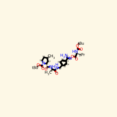 CC(C)[C@H](NC(=O)OC(C)(C)C)C(=O)O/N=C(\N)c1ccc(CNC(=O)[C@H](C)NC(=O)[C@H]2C[C@@H](C)CCN2C(=O)OC(C)(C)C)cc1